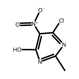 Cc1nc(O)c([N+](=O)[O-])c(Cl)n1